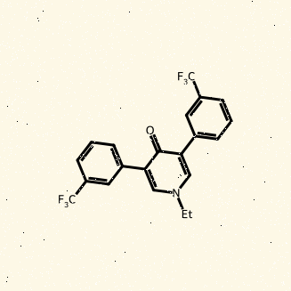 CCn1cc(-c2cccc(C(F)(F)F)c2)c(=O)c(-c2cccc(C(F)(F)F)c2)c1